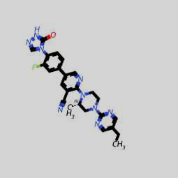 CCc1cnc(N2CCN(c3ncc(-c4ccc(-n5cn[nH]c5=O)c(F)c4)cc3C#N)[C@@H](C)C2)nc1